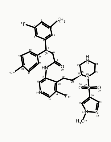 Cc1cc(F)cc([C@@H](CC(=O)Nc2cncc(F)c2CC[C@H]2CNCCN2S(=O)(=O)c2cnn(C)c2)c2ccc(F)cc2)c1